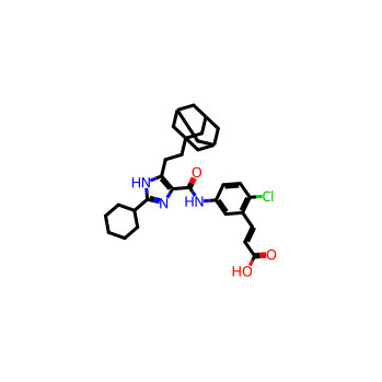 O=C(O)C=Cc1cc(NC(=O)c2nc(C3CCCCC3)[nH]c2CCC23CC4CC(CC(C4)C2)C3)ccc1Cl